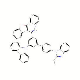 CCc1nc2ccccc2n1-c1ccc(-c2cc(-c3nc4ccccc4c4oc5ccccc5c34)cc(-n3c4ccccc4c4ccccc43)c2)cc1